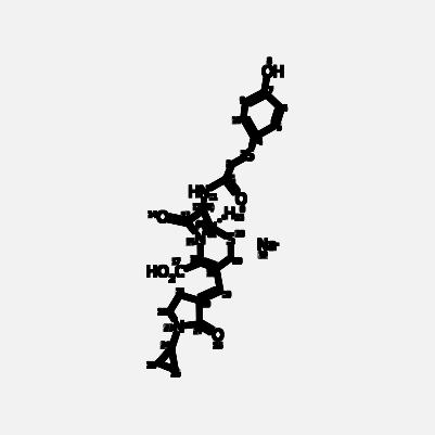 O=C(CSc1ccc(O)cc1)N[C@@H]1C(=O)N2C(C(=O)O)=C(C=C3CCN(C4CC4)C3=O)CS[C@H]12.[Na]